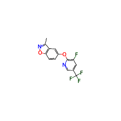 Cc1noc2ccc(Oc3ncc(C(F)(F)F)cc3F)cc12